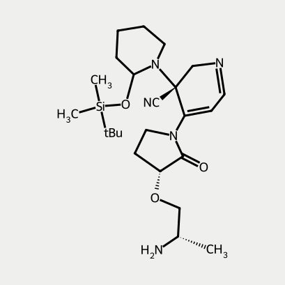 C[C@H](N)CO[C@@H]1CCN(C2=CC=NC[C@@]2(C#N)N2CCCCC2O[Si](C)(C)C(C)(C)C)C1=O